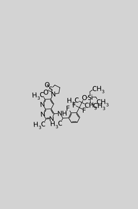 CC[Si](CC)(CC)OC(C)(C)C(F)(F)c1cccc(C(C)Nc2nc(C)nc3nc(C)c(N4CCCS4(=O)=O)cc23)c1F